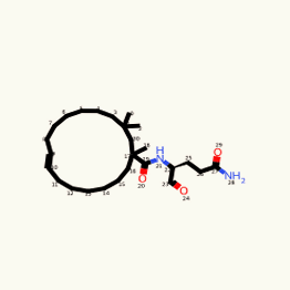 CC1(C)CCCCCC/C=C/CCCCCCC(C)(C(=O)N[C@H](C=O)CCC(N)=O)C1